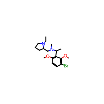 CCN1CCCC1CN(C)C(C)c1c(OC)ccc(Br)c1OC